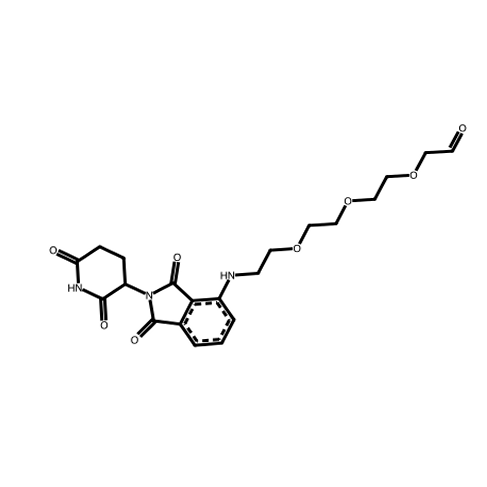 O=CCOCCOCCOCCNc1cccc2c1C(=O)N(C1CCC(=O)NC1=O)C2=O